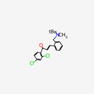 CN(Cc1ccccc1C=CC(=O)c1ccc(Cl)cc1Cl)C(C)(C)C